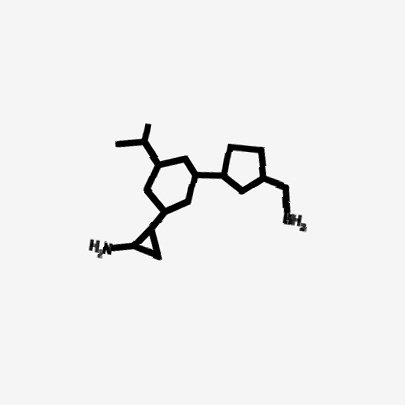 BCC1CCC(C2CC(C(C)C)CC(C3CC3N)C2)C1